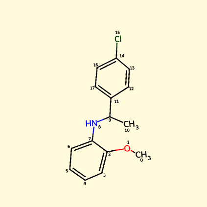 COc1ccccc1NC(C)c1ccc(Cl)cc1